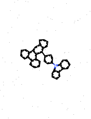 c1ccc2c(-c3ccc(-n4c5ccccc5c5ccccc54)cc3)c3c4ccccc4c4ccccc4c3cc2c1